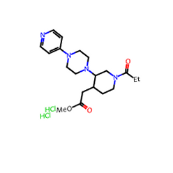 CCC(=O)N1CCC(CC(=O)OC)C(N2CCN(c3ccncc3)CC2)C1.Cl.Cl